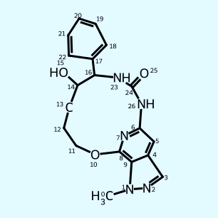 Cn1ncc2cc3nc(c21)OCCCC(O)C(c1ccccc1)NC(=O)N3